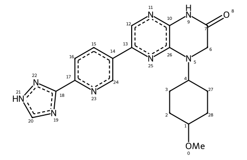 COC1CCC(N2CC(=O)Nc3ncc(-c4ccc(-c5nc[nH]n5)nc4)nc32)CC1